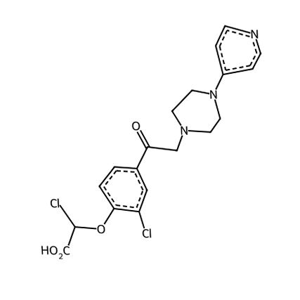 O=C(CN1CCN(c2ccncc2)CC1)c1ccc(OC(Cl)C(=O)O)c(Cl)c1